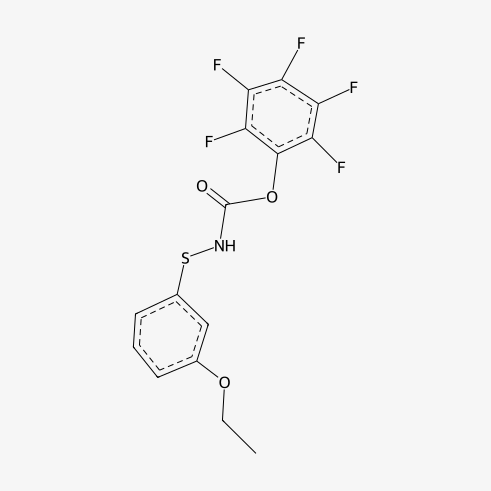 CCOc1cccc(SNC(=O)Oc2c(F)c(F)c(F)c(F)c2F)c1